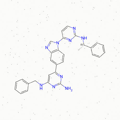 C[C@H](Nc1nccc(-n2cnc3cc(-c4cc(NCc5ccccc5)nc(N)n4)ccc32)n1)c1ccccc1